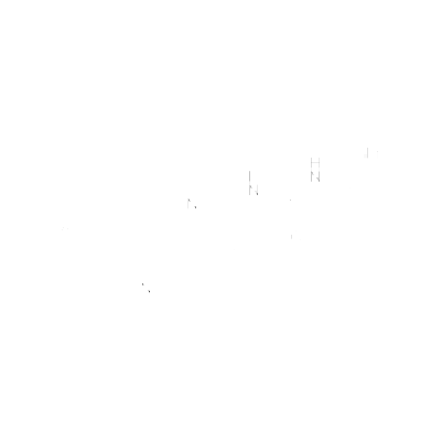 CCCC(C)(C)NC(=O)Nc1ccc2ncc(Br)cc2n1